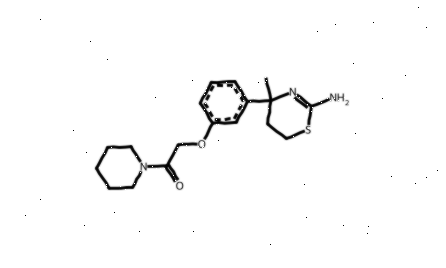 CC1(c2cccc(OCC(=O)N3CCCCC3)c2)CCSC(N)=N1